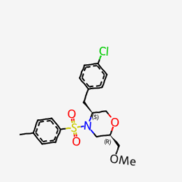 COC[C@H]1CN(S(=O)(=O)c2ccc(C)cc2)[C@@H](Cc2ccc(Cl)cc2)CO1